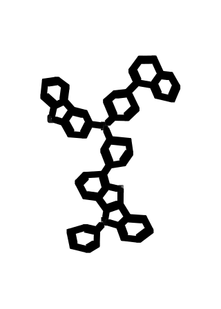 c1ccc(-n2c3ccccc3c3sc4c(-c5cccc(N(c6ccc(-c7cccc8ccccc78)cc6)c6ccc7oc8ccccc8c7c6)c5)cccc4c32)cc1